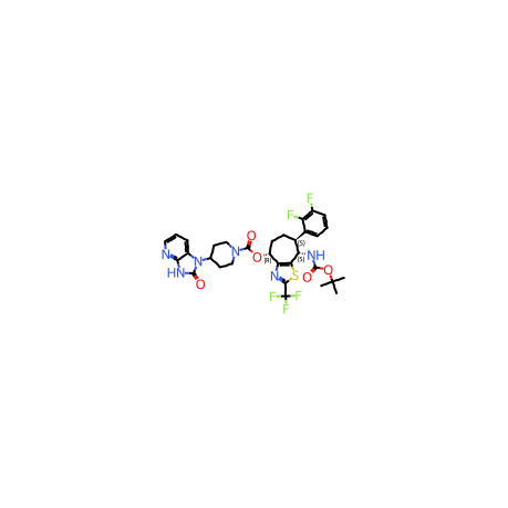 CC(C)(C)OC(=O)N[C@@H]1c2sc(C(F)(F)F)nc2[C@H](OC(=O)N2CCC(n3c(=O)[nH]c4ncccc43)CC2)CC[C@H]1c1cccc(F)c1F